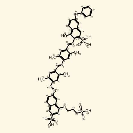 Cc1cc(N=Nc2cc(C)c(N=Nc3c(S(=O)(=O)O)cc4cc(Nc5ccccc5)ccc4c3O)cc2C)c(C)cc1N=Nc1ccc2cc(S(=O)(=O)O)cc(OCCCS(=O)(=O)O)c2c1